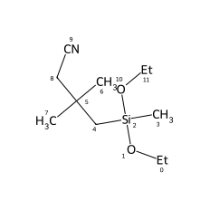 CCO[Si](C)(CC(C)(C)CC#N)OCC